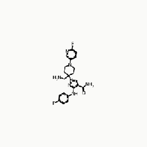 NCC1(n2cc(C(N)=O)c(Nc3ccc(F)cc3)n2)CCN(c2ccc(F)nc2)CC1